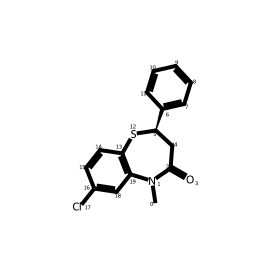 CN1C(=O)[C][C@H](c2ccccc2)Sc2ccc(Cl)cc21